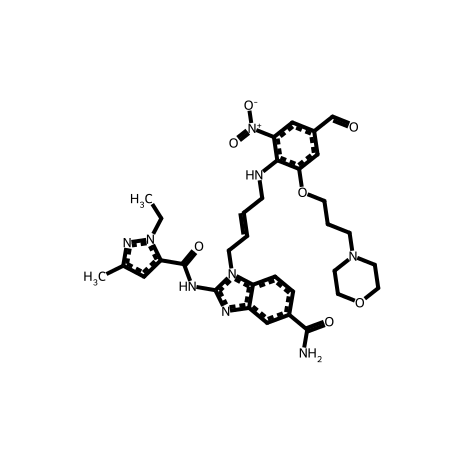 CCn1nc(C)cc1C(=O)Nc1nc2cc(C(N)=O)ccc2n1C/C=C/CNc1c(OCCCN2CCOCC2)cc(C=O)cc1[N+](=O)[O-]